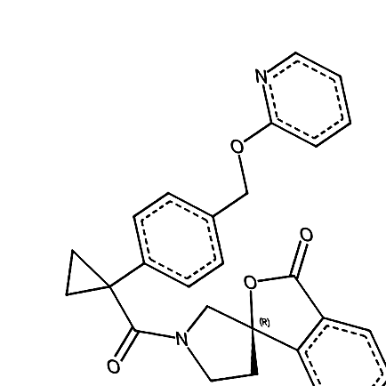 O=C1O[C@]2(CCN(C(=O)C3(c4ccc(COc5ccccn5)cc4)CC3)C2)c2ccccc21